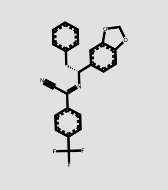 N#C/C(=N\[C@H](Cc1ccccc1)c1ccc2c(c1)OCO2)c1ccc(C(F)(F)F)cc1